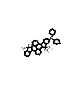 CC1(C)c2ccccc2-c2c1c1cccc3c4c(c5cccc2c5c31)C(C)(C)c1cc(N(c2ccccc2)c2ccccc2)ccc1-4